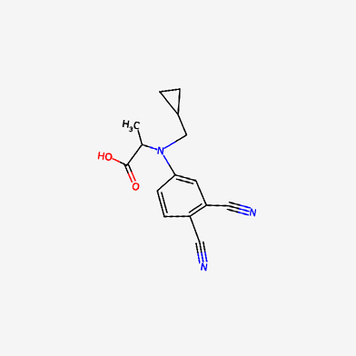 CC(C(=O)O)N(CC1CC1)c1ccc(C#N)c(C#N)c1